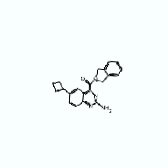 Nc1nc(C(=O)N2Cc3ccccc3C2)c2cc(C3CCC3)ccc2n1